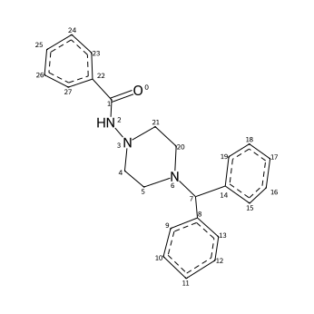 O=C(NN1CCN(C(c2ccccc2)c2ccccc2)CC1)c1ccccc1